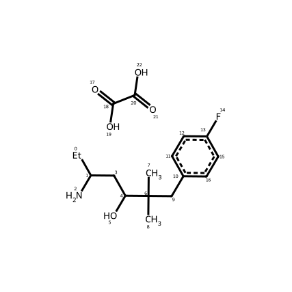 CCC(N)CC(O)C(C)(C)Cc1ccc(F)cc1.O=C(O)C(=O)O